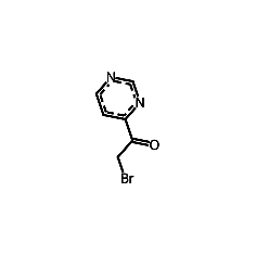 O=C(CBr)c1ccncn1